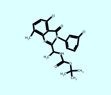 Cc1ccc(Cl)c2c(=O)n(-c3cccc(Cl)c3)c(C(C)NC(=O)OC(C)(C)C)nc12